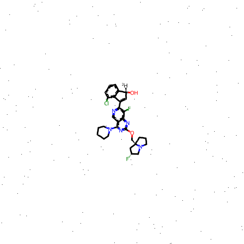 [2H][C@@]1(O)C=C(c2ncc3c(N4CCCCC4)nc(OC[C@@]45CCCN4C[C@H](F)C5)nc3c2F)c2c(Cl)cccc21